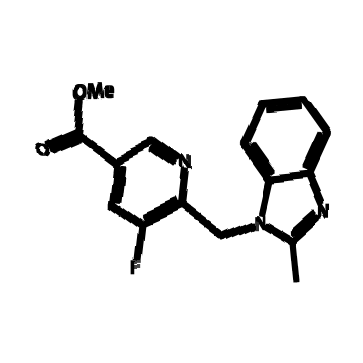 COC(=O)c1cnc(Cn2c(C)nc3ccccc32)c(F)c1